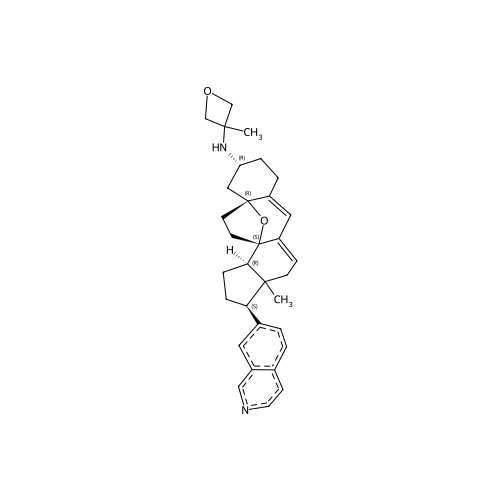 CC1(N[C@@H]2CCC3=CC4=CCC5(C)[C@@H](c6ccc7ccncc7c6)CC[C@H]5[C@@]45CC[C@]3(C2)O5)COC1